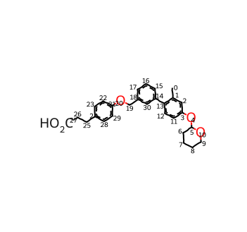 Cc1cc(OC2CCCCO2)ccc1-c1cccc(COc2ccc(CCC(=O)O)cc2)c1